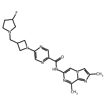 Cc1cn2cc(NC(=O)c3cnc(N4CC(CN5CCC(F)C5)C4)cn3)nc(C)c2n1